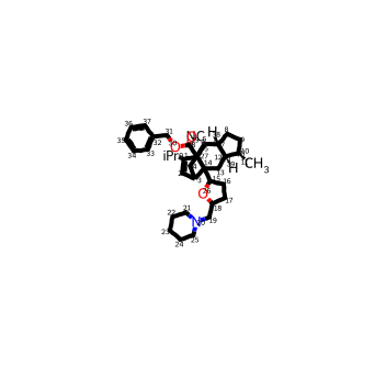 CC(C)C1=CC2CC3(C#N)[C@@H]4CC[C@@H](C)[C@H]4CC2(C2CCC(CN4CCCCC4)O2)C13C(=O)OCc1ccccc1